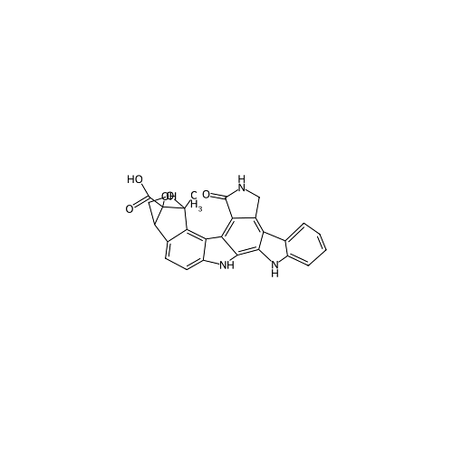 CC12OCC(c3ccc4[nH]c5c6[nH]c7ccccc7c6c6c(c5c4c31)C(=O)NC6)C2(O)C(=O)O